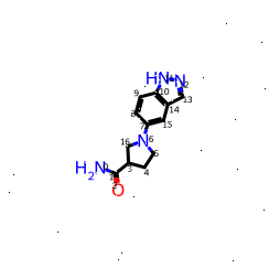 NC(=O)C1CCN(c2ccc3[nH]ncc3c2)C1